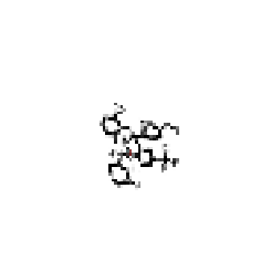 COc1ccccc1C[C@@](NC(=O)Nc1cccc(F)c1)(c1cc(F)cc(C(F)(F)F)c1)c1ccc(CI)cn1